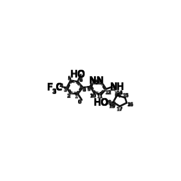 Cc1cc(C(F)(F)F)cc(O)c1-c1ccc(N[C@@H]2CCC[C@@H]2O)nn1